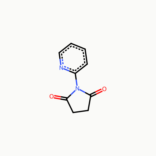 O=C1CCC(=O)N1c1ccccn1